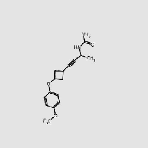 CC(C#CC1CC(Oc2ccc(OC(F)(F)F)cc2)C1)NC(N)=O